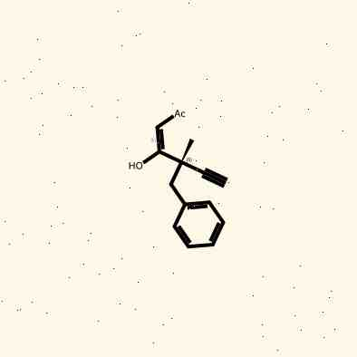 C#C[C@](C)(Cc1ccccc1)/C(O)=C\C(C)=O